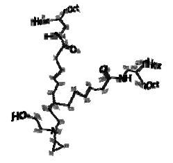 CCCCCCCCC(CCCCCC)CNC(=O)CCCCCC(CCCCCC(=O)NCC(CCCCCC)CCCCCCCC)CCN(CCO)C1CC1